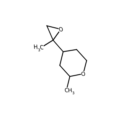 CC1CC(C2(C)CO2)CCO1